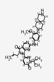 C=CCn1c(=O)c2cnc(Nc3ccc(N4CCC5(CCNCC5)CC4)c(OC)c3)nc2n1-c1ccc(=O)n(C(C)C)n1